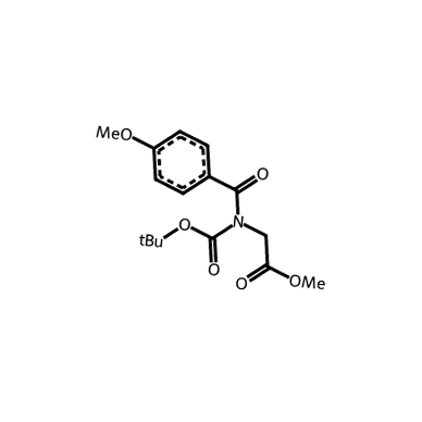 COC(=O)CN(C(=O)OC(C)(C)C)C(=O)c1ccc(OC)cc1